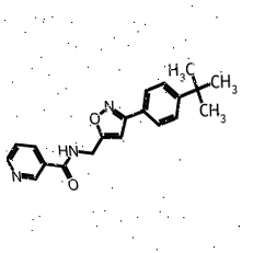 CC(C)(C)c1ccc(-c2cc(CNC(=O)c3cccnc3)on2)cc1